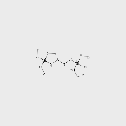 CC[Si](CC)(CC)SCCC[Si](OC)(OC)OC